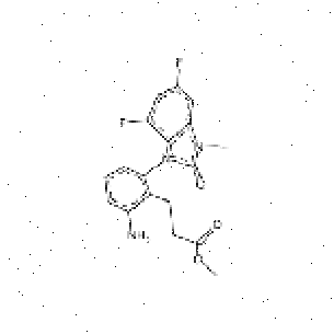 COC(=O)CCc1c(N)cccc1-n1c(=O)n(C)c2cc(F)cc(F)c21